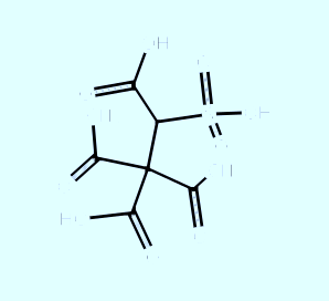 CC(=O)C(C(C)=O)(C(=O)O)C(C(=O)O)S(=O)(=O)O